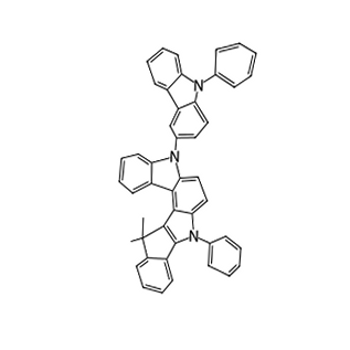 CC1(C)c2ccccc2-c2c1c1c3c4ccccc4n(-c4ccc5c(c4)c4ccccc4n5-c4ccccc4)c3ccc1n2-c1ccccc1